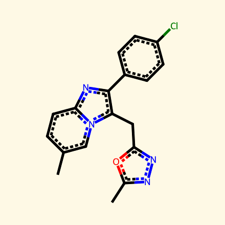 Cc1ccc2nc(-c3ccc(Cl)cc3)c(Cc3nnc(C)o3)n2c1